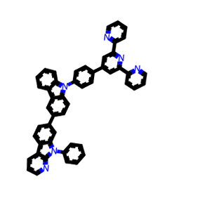 c1ccc(-n2c3cc(-c4ccc5c(c4)c4ccccc4n5-c4ccc(-c5cc(-c6ccccn6)nc(-c6ccccn6)c5)cc4)ccc3c3cccnc32)cc1